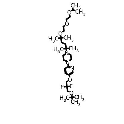 CC(C)OCCOCCOC(C)(C)CCC(C)(C)N1CCN(c2ccc(OCC(F)(F)COC(C)(C)C)cn2)CC1